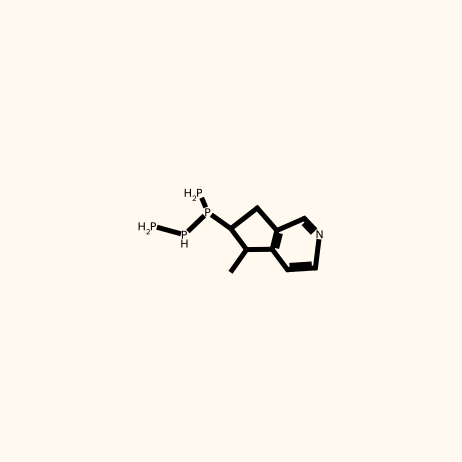 CC1c2ccncc2CC1P(P)PP